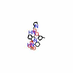 Cc1ccc([C@H]2[C@H](C(=O)NOCc3ccccn3)c3ccccc3C(=O)N2[C@@H]2CCCC[C@H]2NS(C)(=O)=O)c(C)c1